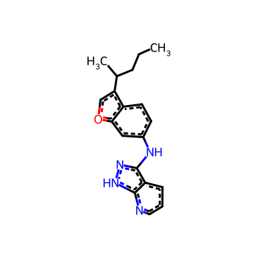 CCCC(C)c1coc2cc(Nc3n[nH]c4ncccc34)ccc12